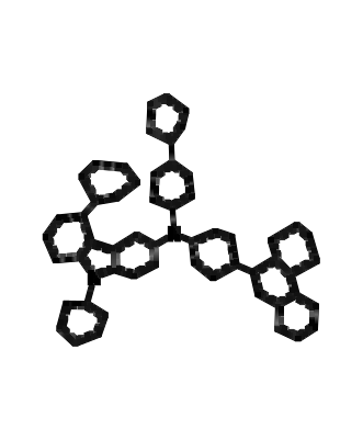 c1ccc(-c2ccc(N(c3ccc(-c4cc5ccccc5c5ccccc45)cc3)c3ccc4c(c3)c3c(-c5ccccc5)cccc3n4-c3ccccc3)cc2)cc1